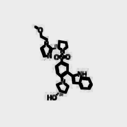 COCCn1ccnc1[C@@H]1CCCN1S(=O)(=O)c1ccc(N2CC[C@H](O)C2)c(-c2cc3ccccc3[nH]2)c1